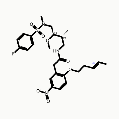 C/C=C/CCOc1ccc([N+](=O)[O-])cc1CC(=O)NC[C@@H](C)[C@H](CN(C)S(=O)(=O)c1ccc(F)cc1)OC